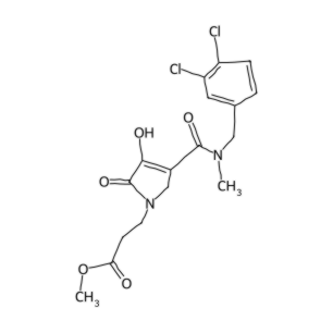 COC(=O)CCN1CC(C(=O)N(C)Cc2ccc(Cl)c(Cl)c2)=C(O)C1=O